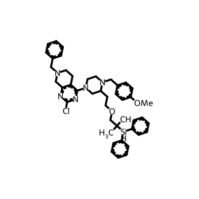 COc1ccc(CN2CCN(c3nc(Cl)nc4c3CCN(Cc3ccccc3)C4)CC2CCOCC(C)(C)[SiH](c2ccccc2)c2ccccc2)cc1